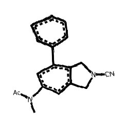 CC(=O)N(C)c1cc2c(c(-c3ccccc3)c1)CN(C#N)C2